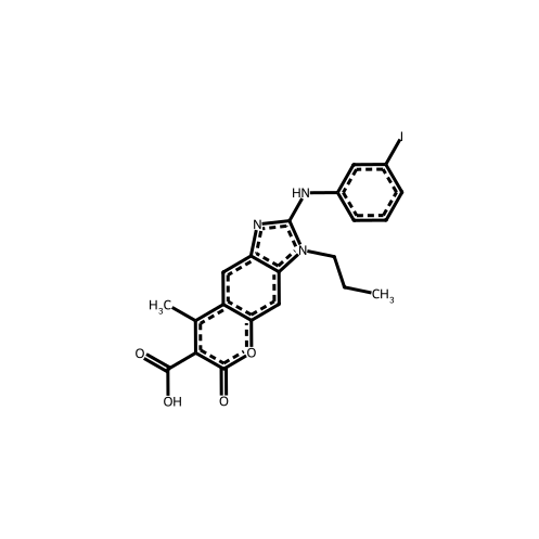 CCCn1c(Nc2cccc(I)c2)nc2cc3c(C)c(C(=O)O)c(=O)oc3cc21